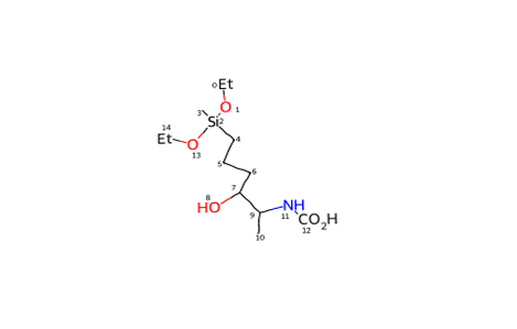 CCO[Si](C)(CCCC(O)C(C)NC(=O)O)OCC